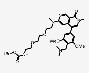 COc1cc(-c2cn(C)c(=O)c3cnc(N(C)CCOCCOCCNC(=O)OC(C)(C)C)cc23)cc(OC)c1CN(C)C